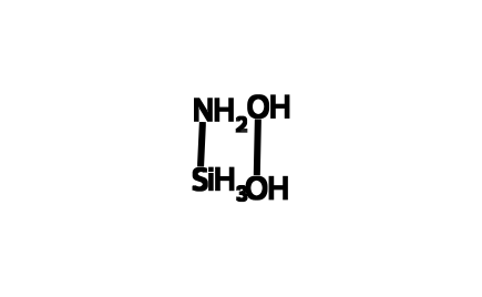 N[SiH3].OO